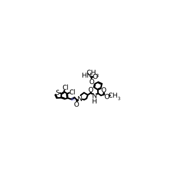 CNC(=O)Oc1cccc(C(CC(=O)OC)NC(=O)C2CCN(C(=O)/C=C/c3cc4ccsc4c(Cl)c3Cl)CC2)c1